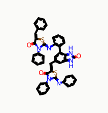 O=C1/C(=C/c2cc(-c3ccccc3/N=C3\S/C(=C\c4ccccc4)C(=O)N3c3ccccc3)c3[nH]c(=O)[nH]c3c2)S/C(=N\c2ccccc2)N1c1ccccc1